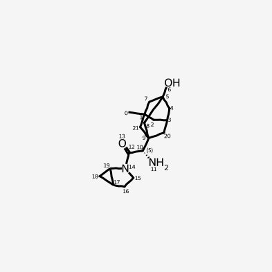 CC12CC3CC(O)(C1)CC([C@H](N)C(=O)N1CCC4CC41)(C3)C2